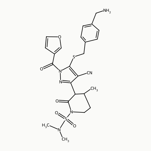 CC1CCN(S(=O)(=O)N(C)C)C(=O)C1c1nn(C(=O)c2ccoc2)c(SCc2ccc(CN)cc2)c1C#N